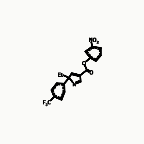 CCC1(c2ccc(C(F)(F)F)cc2)C=C(C(=O)Oc2cccc([N+](=O)[O-])c2)C=N1